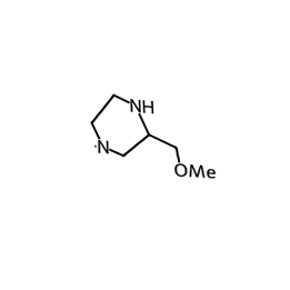 COCC1C[N]CCN1